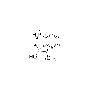 COCC(C)O.Pc1ccccc1